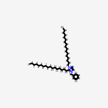 CCCCCCCCCCCCCCCCCc1n(Cc2ccccc2)cc[n+]1CCCCCCCCCCCCCCCCC